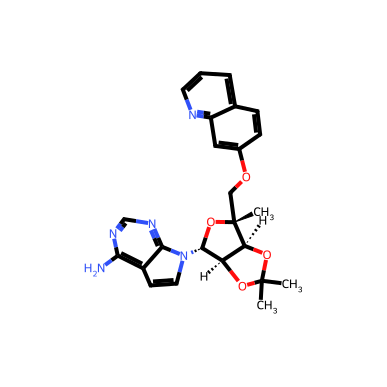 CC1(C)O[C@H]2[C@H](n3ccc4c(N)ncnc43)O[C@](C)(COc3ccc4cccnc4c3)[C@H]2O1